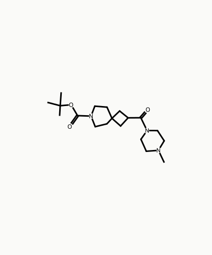 CN1CCN(C(=O)C2CC3(CCN(C(=O)OC(C)(C)C)CC3)C2)CC1